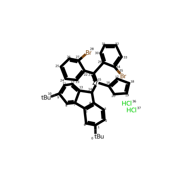 CC(C)(C)c1ccc2c(c1)-c1cc(C(C)(C)C)ccc1[CH]2[Zr]([C]1=CC=CC1)=[C](c1ccccc1Br)c1ccccc1Br.Cl.Cl